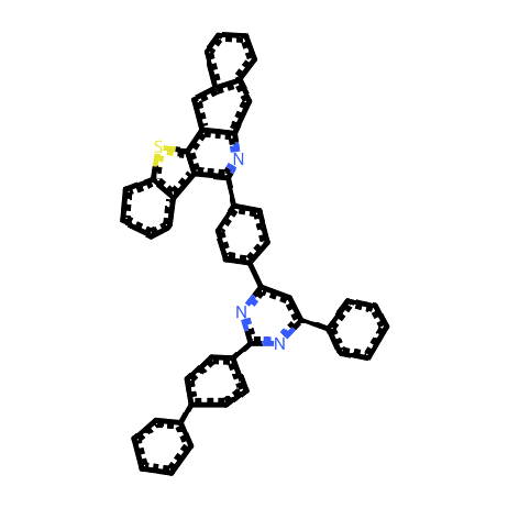 c1ccc(-c2ccc(-c3nc(-c4ccccc4)cc(-c4ccc(-c5nc6cc7ccccc7cc6c6sc7ccccc7c56)cc4)n3)cc2)cc1